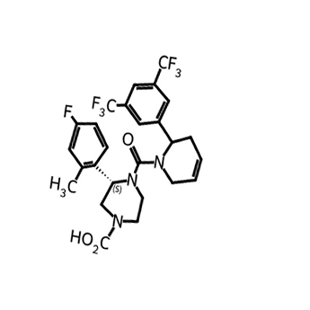 Cc1cc(F)ccc1[C@H]1CN(C(=O)O)CCN1C(=O)N1CC=CCC1c1cc(C(F)(F)F)cc(C(F)(F)F)c1